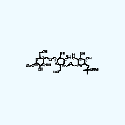 CO[C@H]1OC(CO)[C@@H](COC[C@H]2OC(CO)[C@@H](COC[C@H]3OC(CC(C)(C)OC)[C@@H](O)[C@H](O)C3O)[C@H](O)C2O)[C@H](O)C1O